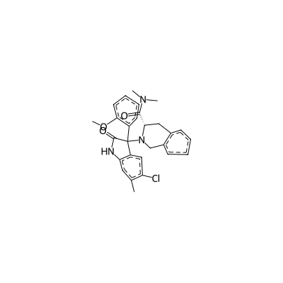 COc1ccccc1C1(N2Cc3ccccc3C[C@H]2C(=O)N(C)C)C(=O)Nc2cc(C)c(Cl)cc21